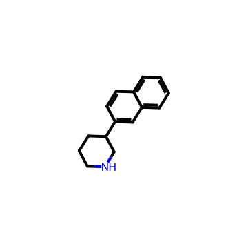 c1ccc2cc(C3CCCNC3)ccc2c1